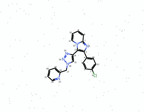 Clc1ccc(-c2nc3ccccn3c2-c2cn(Cc3ccccn3)nn2)cc1